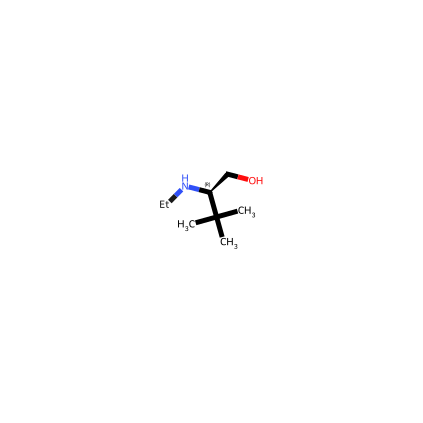 CCN[C@@H](CO)C(C)(C)C